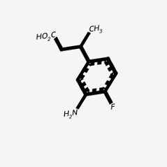 CC(CC(=O)O)c1ccc(F)c(N)c1